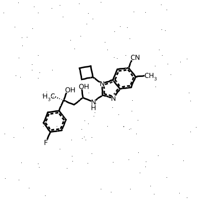 Cc1cc2nc(NC(O)C[C@](C)(O)c3ccc(F)cc3)n(C3CCC3)c2cc1C#N